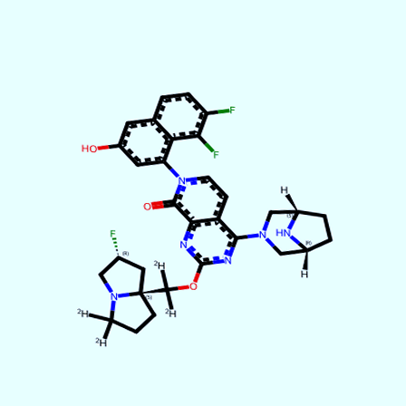 [2H]C1([2H])CC[C@@]2(C([2H])([2H])Oc3nc(N4C[C@H]5CC[C@@H](C4)N5)c4ccn(-c5cc(O)cc6ccc(F)c(F)c56)c(=O)c4n3)C[C@@H](F)CN12